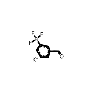 O=Cc1cccc([B-](F)(F)F)c1.[K+]